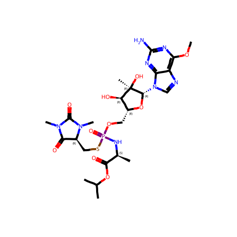 COc1nc(N)nc2c1ncn2[C@@H]1O[C@H](COP(=O)(N[C@@H](C)C(=O)OC(C)C)SC[C@H]2C(=O)N(C)C(=O)N2C)[C@@H](O)[C@@]1(C)O